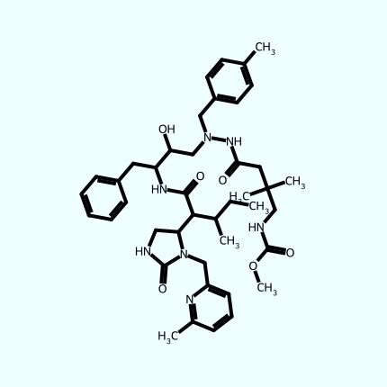 CCC(C)C(C(=O)NC(Cc1ccccc1)C(O)CN(Cc1ccc(C)cc1)NC(=O)CC(C)(C)CNC(=O)OC)C1CNC(=O)N1Cc1cccc(C)n1